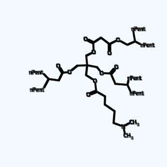 CCCCCC(CCCCC)COC(=O)CC(=O)OCC(COC(=O)CCCCN(C)C)(COC(=O)CC(CCCCC)CCCCC)COC(=O)CC(CCCCC)CCCCC